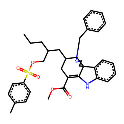 CCCC(COS(=O)(=O)c1ccc(C)cc1)CC1CC(C(=O)OC)=C2Nc3ccccc3C23CCN(Cc2ccccc2)C13